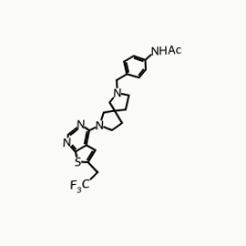 CC(=O)Nc1ccc(CN2CCC3(CCN(c4ncnc5sc(CC(F)(F)F)cc45)C3)C2)cc1